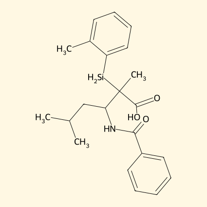 Cc1ccccc1[SiH2]C(C)(C(=O)O)C(CC(C)C)NC(=O)c1ccccc1